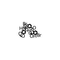 O=C(Nc1ccc(Br)cc1C(=O)O)c1ccc(Br)c(S(=O)(=O)Nc2ccc3c(c2)OCCO3)c1